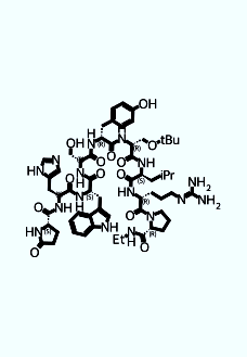 CCNC(=O)[C@H]1CCCN1C(=O)[C@@H](CCCN=C(N)N)NC(=O)[C@H](CC(C)C)NC(=O)[C@@H](COC(C)(C)C)NC(=O)[C@@H](Cc1ccc(O)cc1)NC(=O)[C@@H](CO)NC(=O)[C@H](Cc1c[nH]c2ccccc12)NC(=O)[C@H](Cc1cnc[nH]1)NC(=O)[C@@H]1CCC(=O)N1